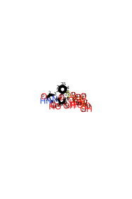 O=c1ccn([C@@H]2O[C@H](C(OP(=O)(O)OP(=O)(O)OP(=O)(O)O)Sc3ccccc3)[C@@H](O)[C@H]2O)c(=O)[nH]1